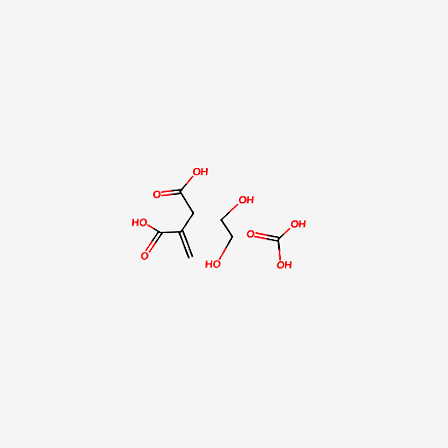 C=C(CC(=O)O)C(=O)O.O=C(O)O.OCCO